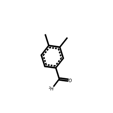 [2H]C(=O)c1ccc(C)c(C)c1